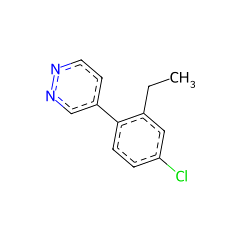 CCc1cc(Cl)ccc1-c1ccnnc1